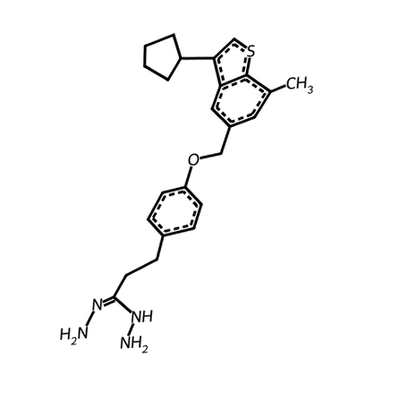 Cc1cc(COc2ccc(CC/C(=N/N)NN)cc2)cc2c(C3CCCC3)csc12